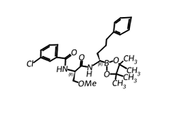 COC[C@@H](NC(=O)c1cccc(Cl)c1)C(=O)N[C@@H](CCCc1ccccc1)B1OC(C)(C)C(C)(C)O1